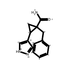 NC(=O)C1(Cc2ccccc2)CC1c1cn[nH]c1